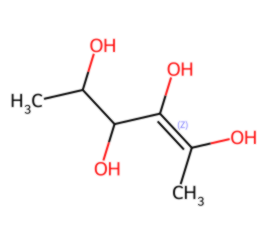 C/C(O)=C(/O)C(O)C(C)O